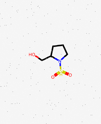 O=[SH](=O)N1CCCC1CO